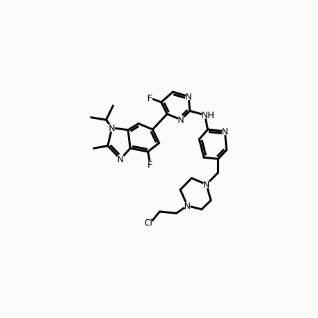 Cc1nc2c(F)cc(-c3nc(Nc4ccc(CN5CCN(CCCl)CC5)cn4)ncc3F)cc2n1C(C)C